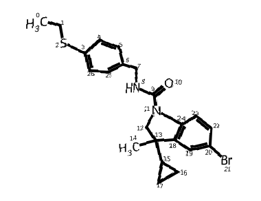 CCSc1ccc(CNC(=O)N2CC(C)(C3CC3)c3cc(Br)ccc32)cc1